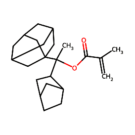 C=C(C)C(=O)OC(C)(C1CC2CCC1C2)C12CC3CC(CC(C3)C1)C2